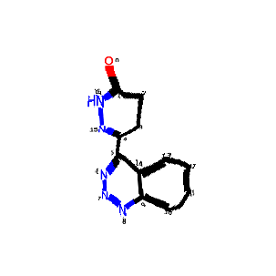 O=C1CCC(c2nnnc3ccccc23)=NN1